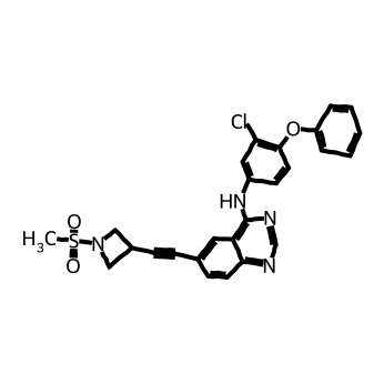 CS(=O)(=O)N1CC(C#Cc2ccc3ncnc(Nc4ccc(Oc5ccccc5)c(Cl)c4)c3c2)C1